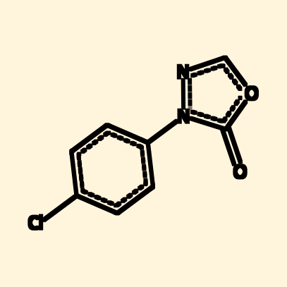 O=c1ocnn1-c1ccc(Cl)cc1